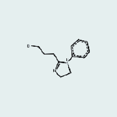 BrCCCC1=NCC[SH]1c1ccccc1